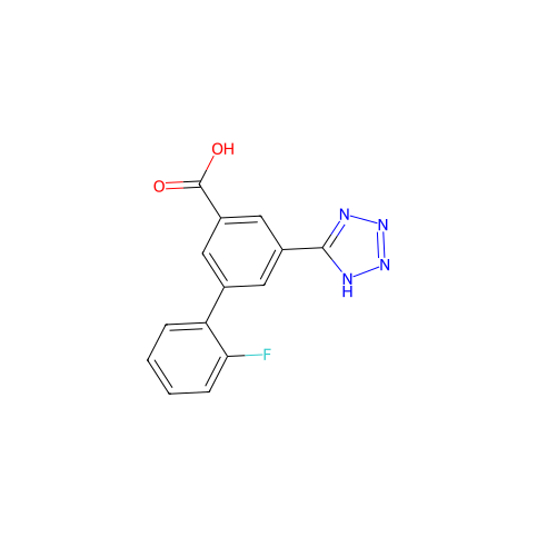 O=C(O)c1cc(-c2nnn[nH]2)cc(-c2ccccc2F)c1